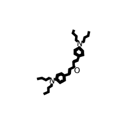 CCCCN(CCCC)c1ccc(C=CC(=O)C=Cc2ccc(N(CCCC)CCCC)cc2)cc1